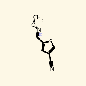 CO/N=C/c1cc(C#N)cs1